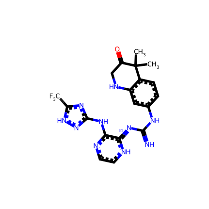 CC1(C)C(=O)CNc2cc(NC(=N)/N=c3\[nH]ccnc3Nc3n[nH]c(C(F)(F)F)n3)ccc21